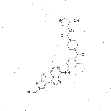 Cc1cc(Nc2nccn3c(-c4cn(CC#N)nc4C(F)(F)F)cnc23)ccc1C(=O)N1CCN(C(=O)N[C@H]2CNC[C@@H]2O)CC1